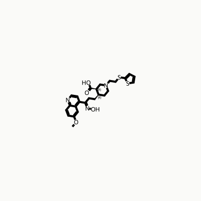 COc1ccc2nccc(C(CC[C@@H]3CCN(CCSc4cccs4)C[C@@H]3C(=O)O)=NO)c2c1